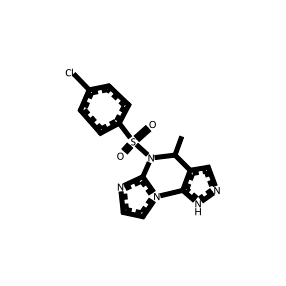 CC1c2cn[nH]c2-n2ccnc2N1S(=O)(=O)c1ccc(Cl)cc1